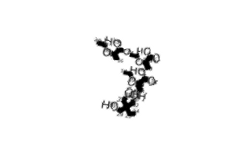 C=C(OCC)C(=O)O.C=C(OCC)C(=O)O.C=C(OCC)C(=O)O.CCC(CO)(CO)CO